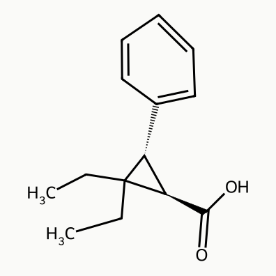 CCC1(CC)[C@H](C(=O)O)[C@H]1c1ccccc1